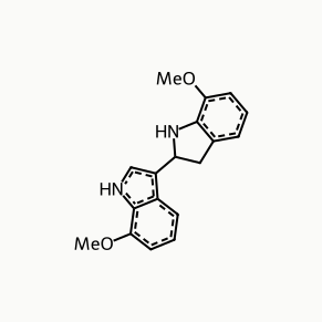 COc1cccc2c1NC(c1c[nH]c3c(OC)cccc13)C2